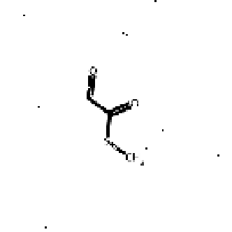 CSC(=O)C=O